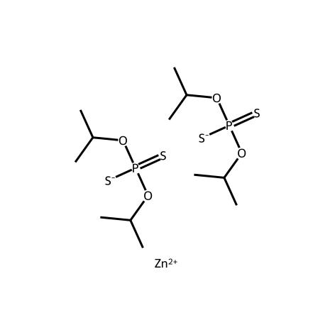 CC(C)OP(=S)([S-])OC(C)C.CC(C)OP(=S)([S-])OC(C)C.[Zn+2]